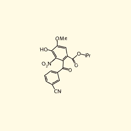 COc1cc(C(=O)OC(C)C)c(C(=O)c2cccc(C#N)c2)c([N+](=O)[O-])c1O